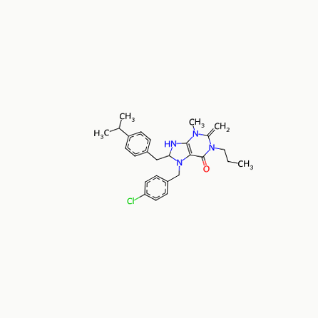 C=C1N(C)C2=C(C(=O)N1CCC)N(Cc1ccc(Cl)cc1)C(Cc1ccc(C(C)C)cc1)N2